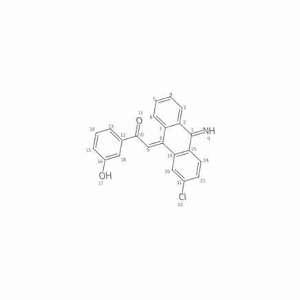 N=C1c2ccccc2C(=CC(=O)c2cccc(O)c2)c2cc(Cl)ccc21